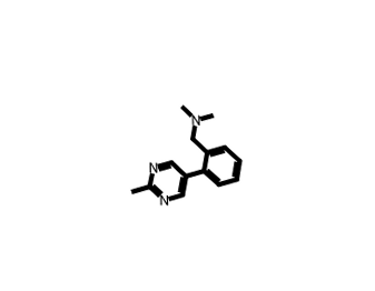 Cc1ncc(-c2ccccc2CN(C)C)cn1